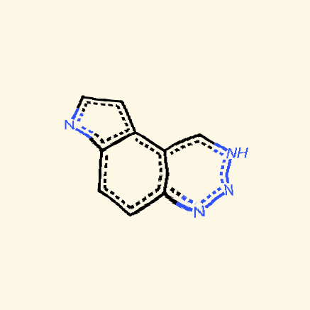 c1cc2c(ccc3nn[nH]cc32)n1